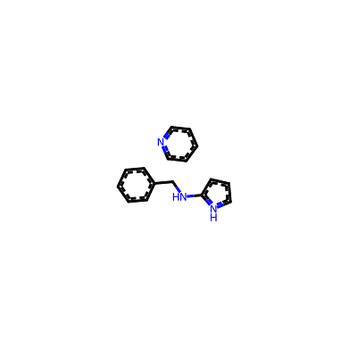 c1ccc(CNc2ccc[nH]2)cc1.c1ccncc1